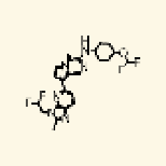 Cc1nc2ccc(-c3ccn4nc(N[C@H]5CC[C@H](OC(F)F)CC5)ncc34)nc2n1CC(F)F